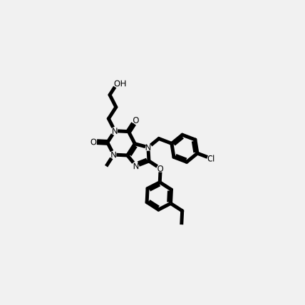 CCc1cccc(Oc2nc3c(c(=O)n(CCCO)c(=O)n3C)n2Cc2ccc(Cl)cc2)c1